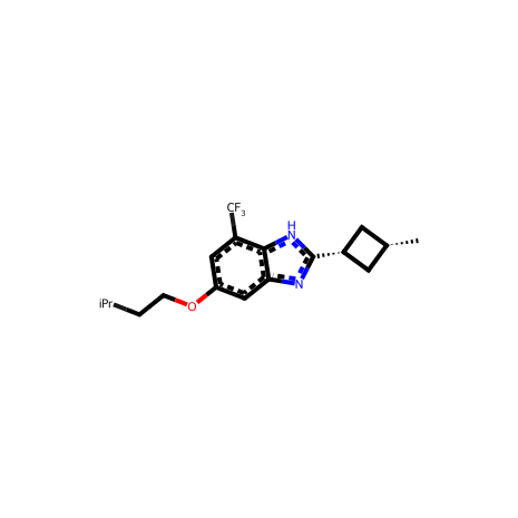 CC(C)CCOc1cc(C(F)(F)F)c2[nH]c([C@H]3C[C@@H](C)C3)nc2c1